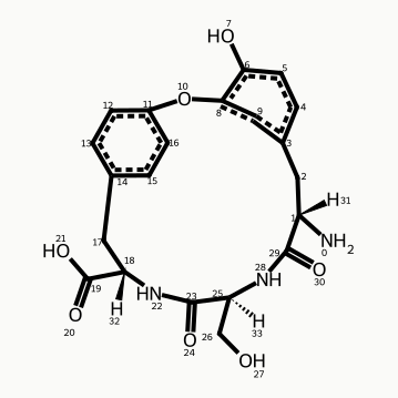 N[C@H]1Cc2ccc(O)c(c2)Oc2ccc(cc2)C[C@@H](C(=O)O)NC(=O)[C@H](CO)NC1=O